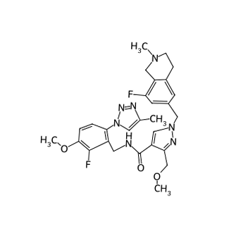 COCc1nn(Cc2cc(F)c3c(c2)CCN(C)C3)cc1C(=O)NCc1c(-n2cc(C)nn2)ccc(OC)c1F